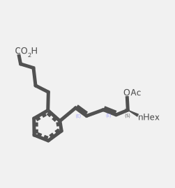 CCCCCC[C@@H](/C=C/C=C/c1ccccc1CCCCC(=O)O)OC(C)=O